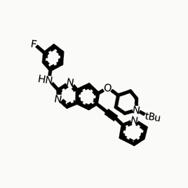 CC(C)(C)N1CCC(Oc2cc3nc(Nc4cccc(F)c4)ncc3cc2C#Cc2ccccn2)CC1